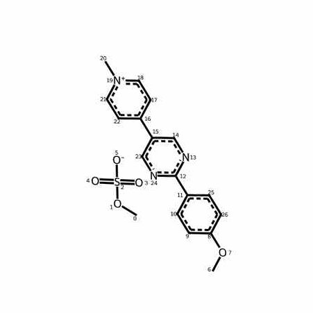 COS(=O)(=O)[O-].COc1ccc(-c2ncc(-c3cc[n+](C)cc3)cn2)cc1